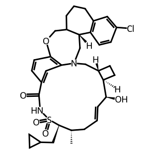 C[C@H]1C/C=C/[C@H](O)[C@@H]2CC[C@H]2CN2C[C@H]3c4ccc(Cl)cc4CCCC3COc3ccc(cc32)C(=O)NS(=O)(=O)[C@@H]1CC1CC1